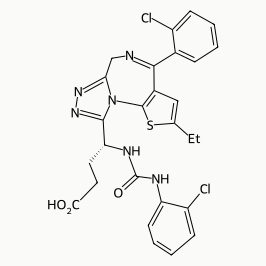 CCc1cc2c(s1)-n1c(nnc1[C@@H](CCC(=O)O)NC(=O)Nc1ccccc1Cl)CN=C2c1ccccc1Cl